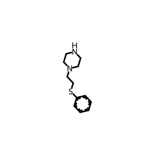 c1ccc(SCCN2CCNCC2)cc1